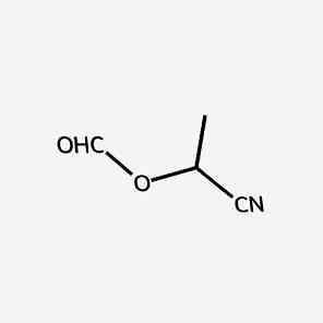 CC(C#N)OC=O